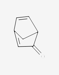 O=C1C=C2C=CC1C2